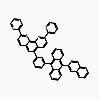 c1ccc(-c2ccc3cc(-c4cccc(-c5c6ccccc6c(-c6ccc7ccccc7c6)c6ccccc56)c4)c4ccc(-c5ccccn5)nc4c3n2)nc1